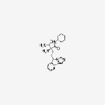 CC(C)[C@@](N)(CCC1c2ccccc2-c2cncn21)C(=O)OC1CCCCC1